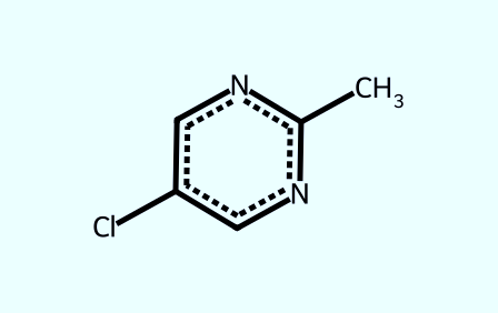 Cc1ncc(Cl)cn1